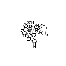 COc1ccc(-c2ccc3cnc(N(c4cccc(C5CNCCN5)c4)N(c4cccc(C5CN(C)CCN5C)c4)c4ncc5ccc(-c6ccc(OC)nc6)n5n4)nn23)cn1